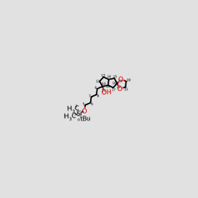 CC(C)(C)[Si](C)(C)OCCCCCC1(O)CCC2CC3(CC21)OCCO3